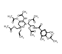 C=CC[C@]1(COC(C)=O)C[C@H](OC(C)=O)[C@@H](NC(C)=O)[C@H](C(OC(C)=O)C(CNC(=O)c2cc(C)c(OC(C)=O)c(C)c2)OC(C)=O)O1